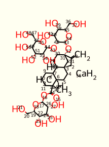 C=C1C[C@@]23CC[C@H]4[C@@](C)(CCC[C@@]4(C)C(=O)O[C@@H]4O[C@H](CO)[C@@H](O)[C@H](O)[C@H]4O)[C@@H]2CC[C@]1(O[C@@H]1O[C@H](CO)[C@@H](O)[C@H](O)[C@H]1O[C@@H]1O[C@H](CO)[C@@H](O)[C@H](O)[C@H]1O)C3.[CaH2]